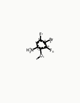 COc1c(N)cc(F)c(Br)c1F